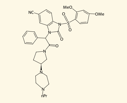 CCCN1CCN([C@H]2CCN(C(=O)C(c3ccccc3)n3c(=O)n(S(=O)(=O)c4ccc(OC)cc4OC)c4ccc(C#N)cc43)C2)CC1